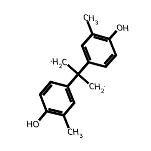 [CH2]C([CH2])(c1ccc(O)c(C)c1)c1ccc(O)c(C)c1